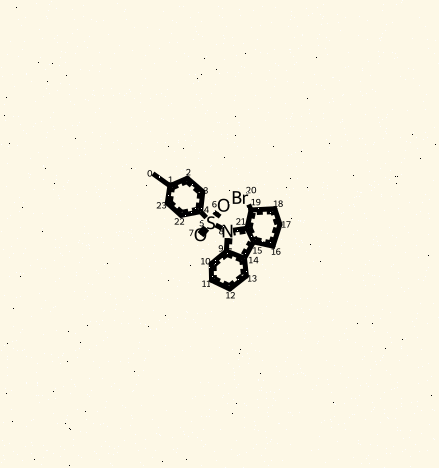 Cc1ccc(S(=O)(=O)n2c3ccccc3c3cccc(Br)c32)cc1